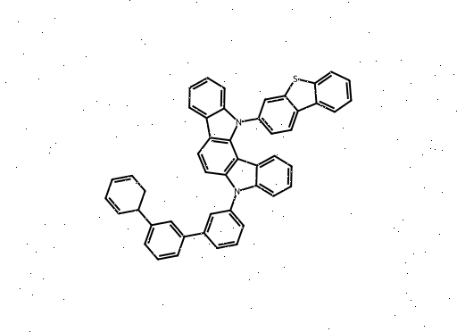 C1=CCC(c2cccc(-c3cccc(-n4c5ccccc5c5c4ccc4c6ccccc6n(-c6ccc7c(c6)sc6ccccc67)c45)c3)c2)C=C1